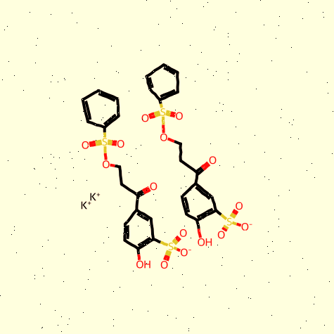 O=C(CCOS(=O)(=O)c1ccccc1)c1ccc(O)c(S(=O)(=O)[O-])c1.O=C(CCOS(=O)(=O)c1ccccc1)c1ccc(O)c(S(=O)(=O)[O-])c1.[K+].[K+]